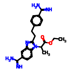 CCOC(=O)C(C)n1c(CCc2ccc(C(=N)N)cc2)nc2cc(C(=N)N)ccc21